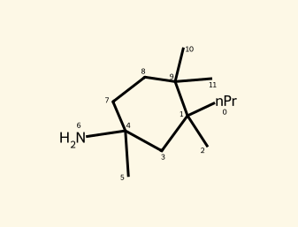 CCCC1(C)CC(C)(N)CCC1(C)C